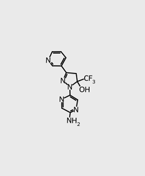 Nc1cnc(N2N=C(c3cccnc3)CC2(O)C(F)(F)F)cn1